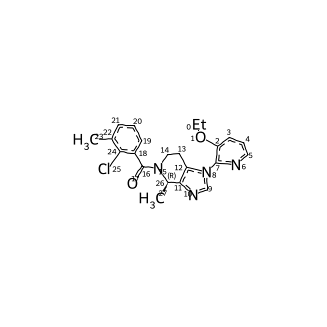 CCOc1cccnc1-n1cnc2c1CCN(C(=O)c1cccc(C)c1Cl)[C@@H]2C